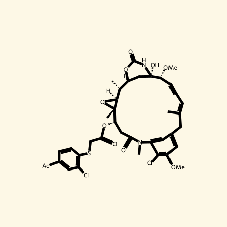 COc1cc2cc(c1Cl)N(C)C(=O)C[C@H](OC(=O)CSc1ccc(C(C)=O)cc1Cl)[C@]1(C)O[C@H]1[C@H](C)[C@@H]1C[C@@](O)(NC(=O)O1)[C@H](OC)/C=C/C=C(\C)C2